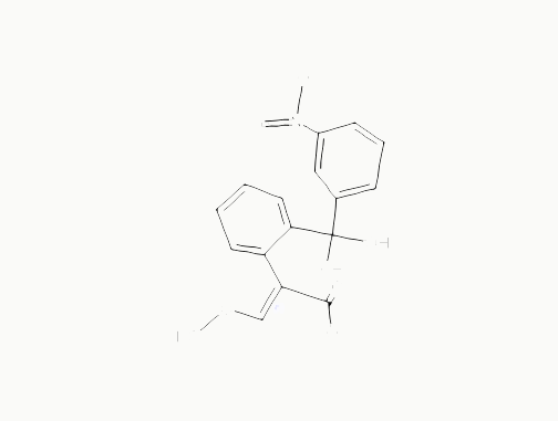 CO/C=C(/C(=O)O)c1ccccc1C(C)(O)c1cccc([N+](=O)[O-])c1